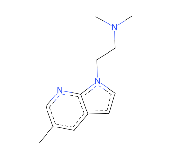 Cc1cnc2c(ccn2CCN(C)C)c1